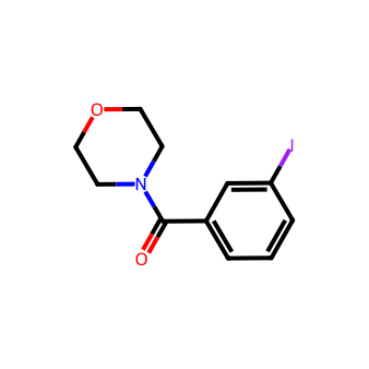 O=C(c1cccc(I)c1)N1CCOCC1